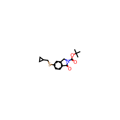 CC(C)(C)OC(=O)N1Cc2cc(SCC3CC3)ccc2C1=O